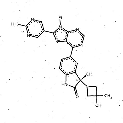 CCn1c(-c2cnc(C)nc2)nc2c(-c3ccc4c(c3)[C@](C)(N3CC(C)(O)C3)C(=O)N4)ncnc21